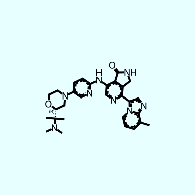 Cc1cccn2c(-c3ncc(Nc4ccc(N5CCO[C@@H](C(C)(C)N(C)C)C5)cn4)c4c3CNC4=O)cnc12